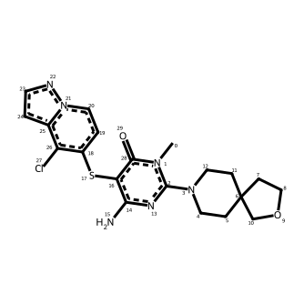 Cn1c(N2CCC3(CCOC3)CC2)nc(N)c(Sc2ccn3nccc3c2Cl)c1=O